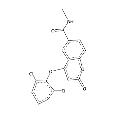 CNC(=O)c1ccc2oc(=O)cc(Oc3c(Cl)cccc3Cl)c2c1